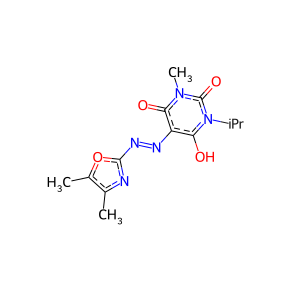 Cc1nc(N=Nc2c(O)n(C(C)C)c(=O)n(C)c2=O)oc1C